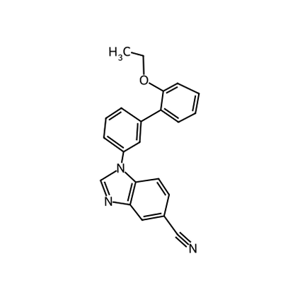 CCOc1ccccc1-c1cccc(-n2cnc3cc(C#N)ccc32)c1